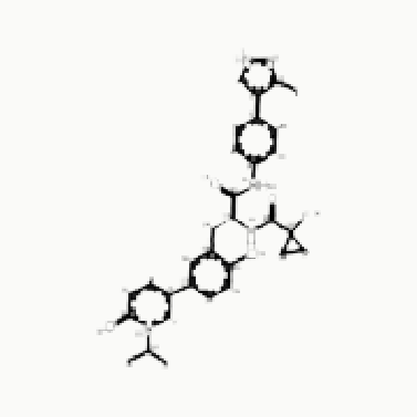 Cc1n[nH]cc1-c1ccc(NC(=O)[C@H](Cc2cc(-c3ccc(=O)n(C(C)C)c3)ccc2Cl)NC(=O)C2(F)CC2)cc1